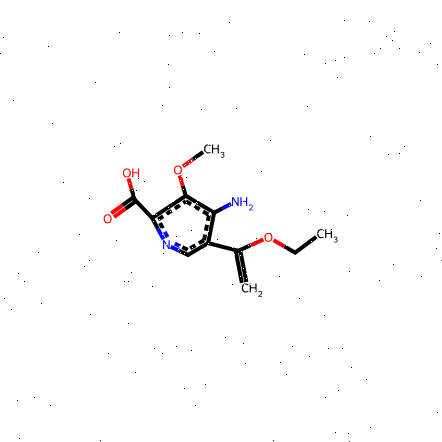 C=C(OCC)c1cnc(C(=O)O)c(OC)c1N